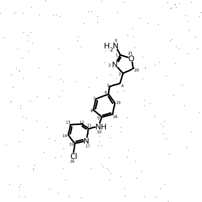 NC1=NC(CCc2ccc(Nc3cccc(Cl)n3)cc2)CO1